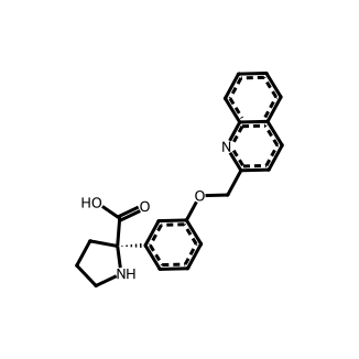 O=C(O)[C@]1(c2cccc(OCc3ccc4ccccc4n3)c2)CCCN1